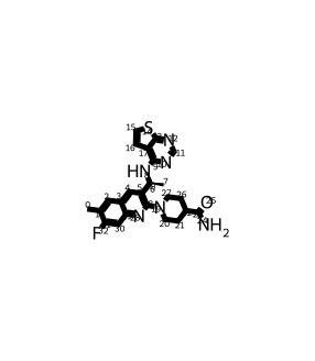 Cc1cc2cc([C@H](C)Nc3ncnc4sccc34)c(N3CCC(C(N)=O)CC3)nc2cc1F